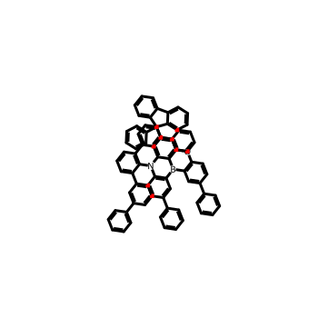 c1ccc(-c2cccc(-c3cccc(-c4cccc(-c5ccccc5)c4)c3N3c4ccc(-c5ccccc5)cc4B4c5cc(-c6ccccc6)ccc5Oc5cc(C6(c7ccccc7)c7ccccc7-c7ccccc76)cc3c54)c2)cc1